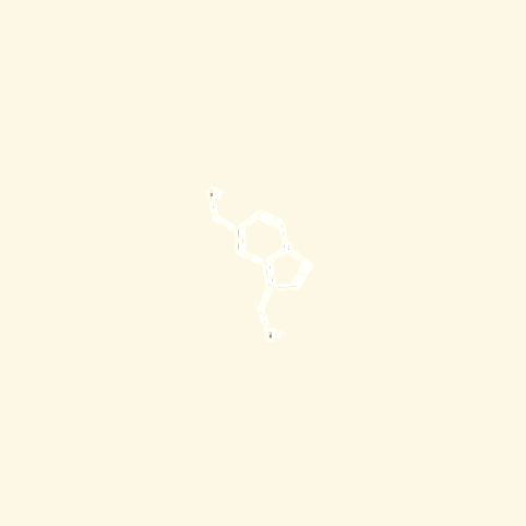 CC(C)Cc1ccn2ccc(CC(C)C)c2c1